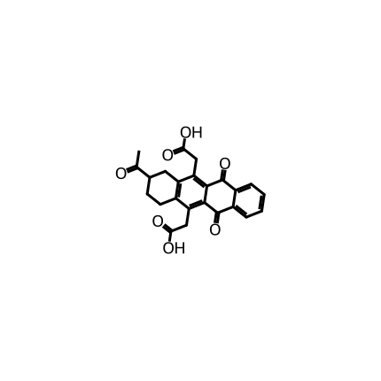 CC(=O)C1CCc2c(c(CC(=O)O)c3c(c2CC(=O)O)C(=O)c2ccccc2C3=O)C1